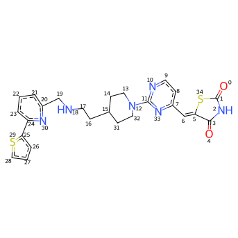 O=C1NC(=O)/C(=C/c2ccnc(N3CCC(CCNCc4cccc(-c5cccs5)n4)CC3)n2)S1